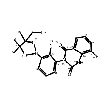 CC1(C)OB(c2cccc(-n3c(=O)[nH]c4c(F)cccc4c3=O)c2Cl)OC1(C)CI